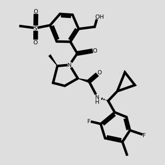 Cc1cc(F)c([C@H](NC(=O)[C@H]2CC[C@@H](C)N2C(=O)c2cc(S(C)(=O)=O)ccc2CO)C2CC2)cc1F